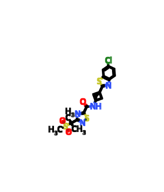 CC(C)(c1nsc(C(=O)NC23CC(c4nc5ccc(Cl)cc5s4)(C2)C3)n1)S(C)(=O)=O